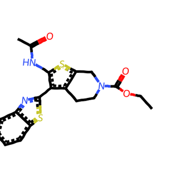 CCOC(=O)N1CCc2c(sc(NC(C)=O)c2-c2nc3ccccc3s2)C1